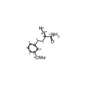 COc1cccc(CCC(=[N+]=[N-])C(N)=O)c1